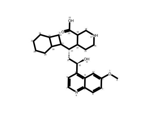 COc1ccc2nccc([C@H](O)C[C@@H](C3CCNCC3C(=O)O)C3CC4CCCCC43)c2c1